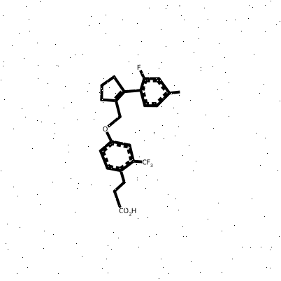 Cc1ccc(C2=C(COc3ccc(CCC(=O)O)c(C(F)(F)F)c3)CCC2)c(F)c1